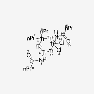 CCCC(=O)[NH][Ti]1[Ti][Ti]([CH2]CC)([CH2]CC)[Ti][Ti]([Cl])([Cl])([NH]C(=O)CCC)[Ti]1